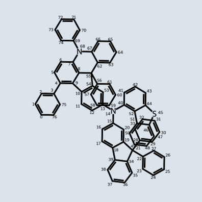 c1ccc(-c2ccc3c4c2-c2ccc(N(c5ccc6c(c5)C(c5ccccc5)(c5ccccc5)c5ccccc5-6)c5cccc6sc7ccccc7c56)cc2C4(c2ccccc2)c2ccccc2N3c2ccccc2)cc1